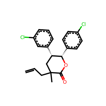 C=CCC1(C)C[C@H](c2cccc(Cl)c2)[C@H](c2ccc(Cl)cc2)OC1=O